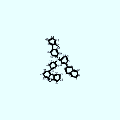 c1cc(-c2ccc3ccccc3c2)cc(N(c2ccc(-c3cccc4oc5ccccc5c34)cc2)c2ccc3c(c2)sc2ccccc23)c1